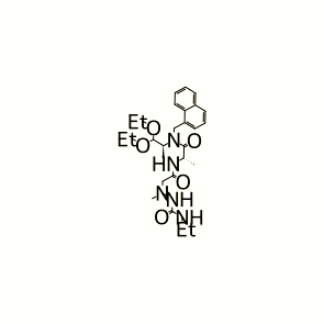 CCNC(=O)NN(C)CC(=O)N[C@@H](C)C(=O)N(Cc1cccc2ccccc12)[C@@H](C)C(OCC)OCC